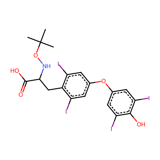 CC(C)(C)ONC(Cc1c(I)cc(Oc2cc(I)c(O)c(I)c2)cc1I)C(=O)O